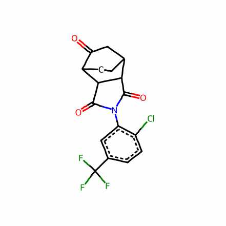 O=C1CC2CCC1C1C(=O)N(c3cc(C(F)(F)F)ccc3Cl)C(=O)C21